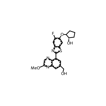 COc1cnc2c(-c3nc4cc(F)c(OC5CCC[C@H]5O)cc4s3)cc(CO)cc2n1